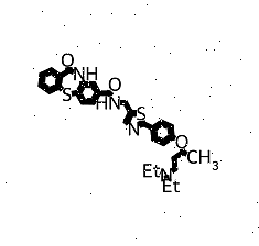 CCN(CC)CCC(C)Oc1ccc(-c2ncc(CNC(=O)c3ccc4c(c3)NC(=O)c3ccccc3S4)s2)cc1